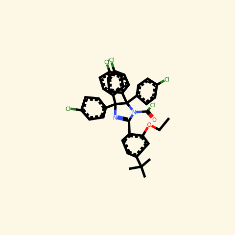 CCOc1cc(C(C)(C)C)ccc1C1=NC(c2ccc(Cl)cc2)(c2ccc(Cl)cc2)C(c2ccc(Cl)cc2)(c2ccc(Cl)cc2)N1C(=O)Cl